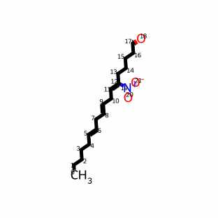 CCCCC/C=C/C/C=C/C/C=C(/CCCC[C]=O)[N+](=O)[O-]